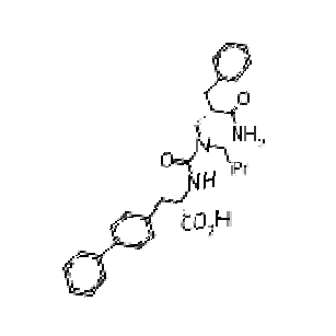 CC(C)CN(C[C@H](Cc1ccccc1)C(N)=O)C(=O)N[C@@H](Cc1ccc(-c2ccccc2)cc1)C(=O)O